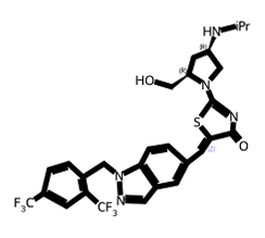 CC(C)N[C@@H]1C[C@H](CO)N(C2=NC(=O)/C(=C/c3ccc4c(cnn4Cc4ccc(C(F)(F)F)cc4C(F)(F)F)c3)S2)C1